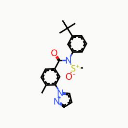 Cc1ccc(C(=O)N(c2cccc(C(C)(C)C)c2)[S@@+](C)[O-])cc1-n1cccn1